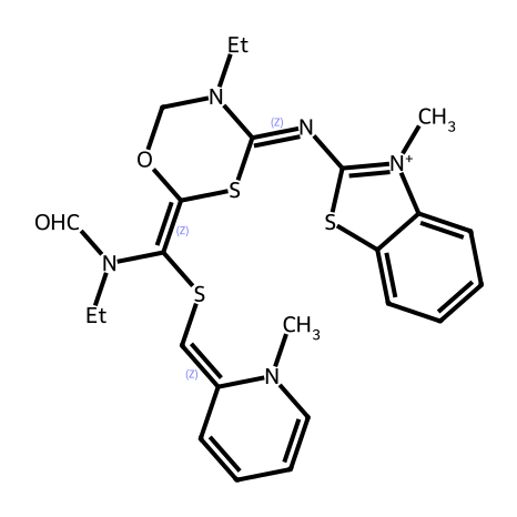 CCN(C=O)/C(S/C=C1/C=CC=CN1C)=C1\OCN(CC)/C(=N/c2sc3ccccc3[n+]2C)S1